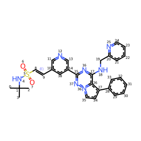 CC(C)(C)NS(=O)(=O)/C=C/c1cncc(-c2nc(NCc3ccccn3)c3c(-c4ccccc4)ccn3n2)c1